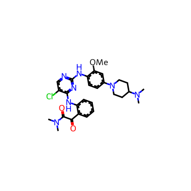 COc1cc(N2CCC(N(C)C)CC2)ccc1Nc1ncc(Cl)c(Nc2ccccc2C(=O)C(=O)N(C)C)n1